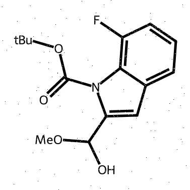 COC(O)c1cc2cccc(F)c2n1C(=O)OC(C)(C)C